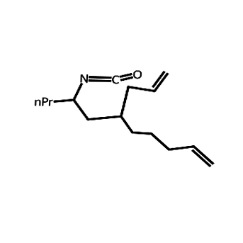 C=CCCCC(CC=C)CC(CCC)N=C=O